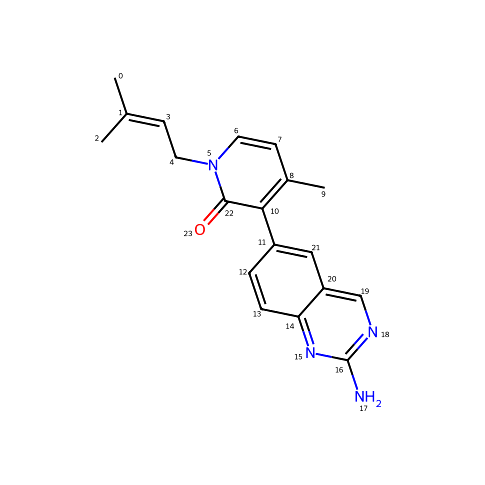 CC(C)=CCn1ccc(C)c(-c2ccc3nc(N)ncc3c2)c1=O